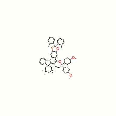 COc1ccc(C2(c3ccc(OC)cc3)C=Cc3c4c(c5cc6c(cc5c3O2)OC(c2ccccc2C)(c2ccccc2C)S6)-c2ccccc2C42CC(C)(C)CC(C)(C)C2)cc1